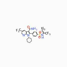 C[C@H](NS(=O)(=O)c1ccc(-c2c(C(N)=O)c3cc(C(F)(F)F)cnc3n2C2CCCCC2)cc1)C(F)(F)F